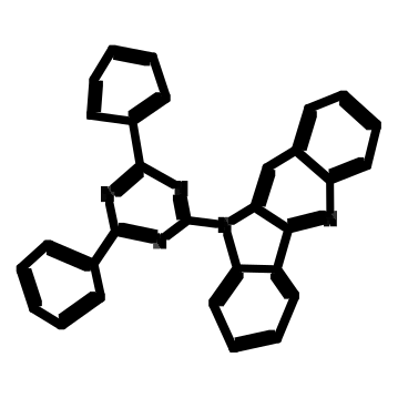 c1ccc(-c2nc(-c3ccccc3)nc(-n3c4ccccc4c4nc5ccccc5cc43)n2)cc1